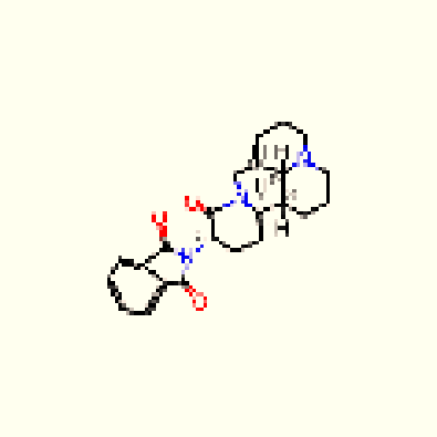 O=C1[C@@H](N2C(=O)c3ccccc3C2=O)CC[C@@H]2[C@H]3CCCN4CCC[C@@H](CN12)[C@@H]34